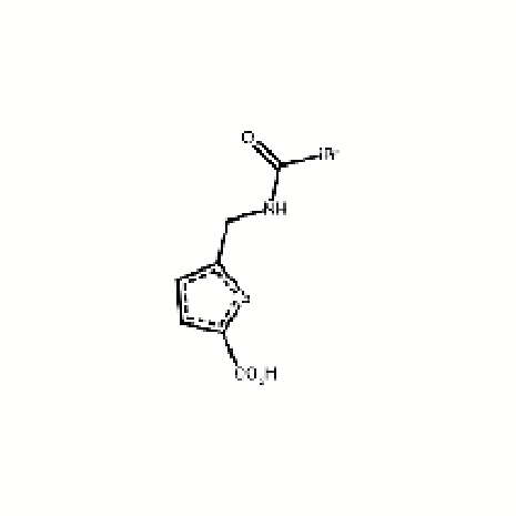 CC(C)C(=O)NCc1ccc(C(=O)O)s1